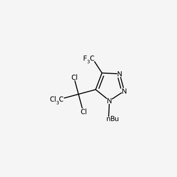 CCCCn1nnc(C(F)(F)F)c1C(Cl)(Cl)C(Cl)(Cl)Cl